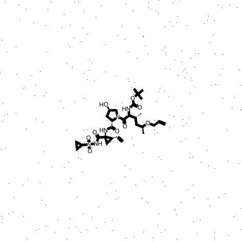 C=CCO[C@@H](C)C[C@@H](C)C(NC(=O)OC(C)(C)C)C(=O)N1C[C@H](O)C[C@H]1C(=O)N[C@]1(C(=O)NS(=O)(=O)C2CC2)C[C@H]1C=C